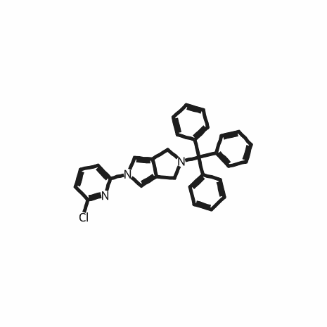 Clc1cccc(-n2cc3c(c2)CN(C(c2ccccc2)(c2ccccc2)c2ccccc2)C3)n1